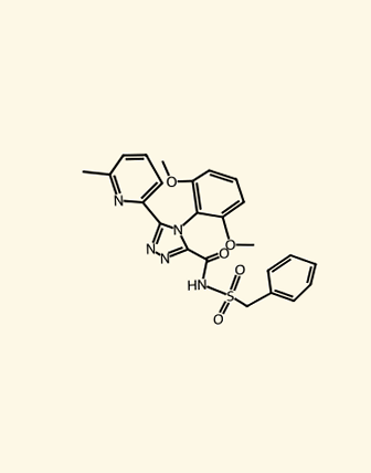 COc1cccc(OC)c1-n1c(C(=O)NS(=O)(=O)Cc2ccccc2)nnc1-c1cccc(C)n1